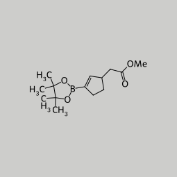 COC(=O)CC1C=C(B2OC(C)(C)C(C)(C)O2)CC1